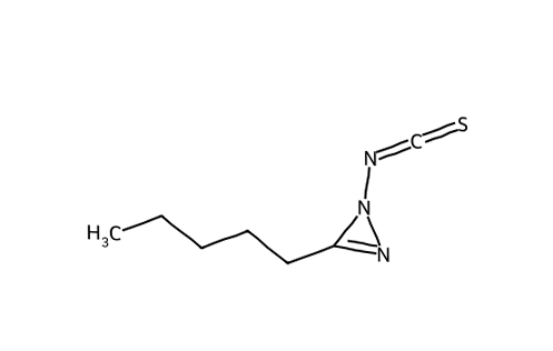 CCCCCC1=NN1N=C=S